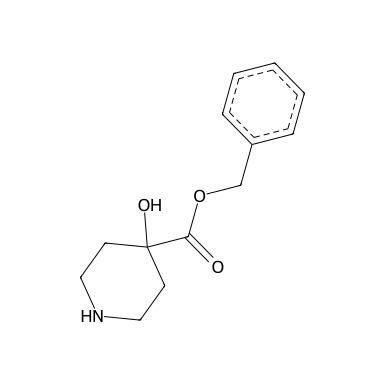 O=C(OCc1ccccc1)C1(O)CCNCC1